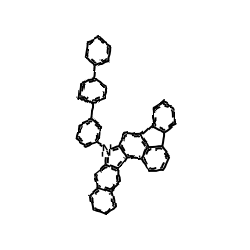 c1ccc(-c2ccc(-c3cccc(-n4c5cc6ccccc6cc5c5c6cccc7c6c(cc54)-c4ccccc4-7)c3)cc2)cc1